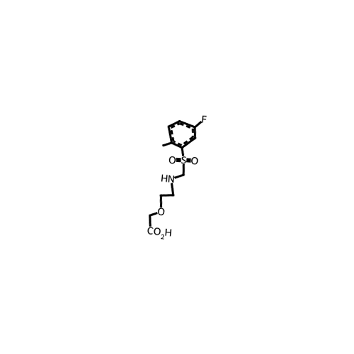 Cc1ccc(F)cc1S(=O)(=O)CNCCOCC(=O)O